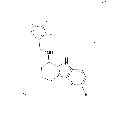 Cn1cncc1CN[C@@H]1CCCc2c1[nH]c1ccc(Br)cc21